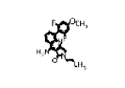 CCCN1Cc2nc3c(-c4c(F)cc(OC)cc4F)cccc3c(N)c2C1=O